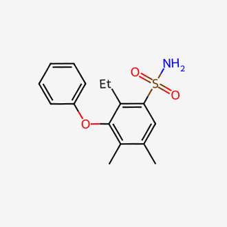 CCc1c(S(N)(=O)=O)cc(C)c(C)c1Oc1ccccc1